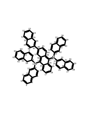 C1=CC(N(c2ccc3ccccc3c2)c2c3ccccc3c(N(c3ccc4ccccc4c3)c3ccc4ccccc4c3)c3ccc(-c4ccc5ccccc5c4)cc23)Cc2ccccc21